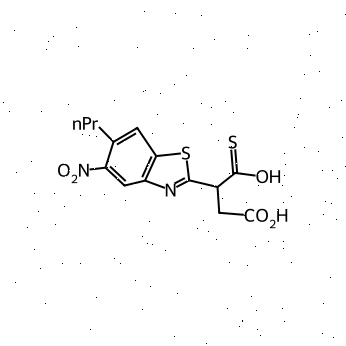 CCCc1cc2sc(C(CC(=O)O)C(O)=S)nc2cc1[N+](=O)[O-]